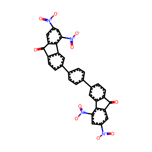 O=C1c2ccc(-c3ccc(-c4ccc5c(c4)-c4c(cc([N+](=O)[O-])cc4[N+](=O)[O-])C5=O)cc3)cc2-c2c1cc([N+](=O)[O-])cc2[N+](=O)[O-]